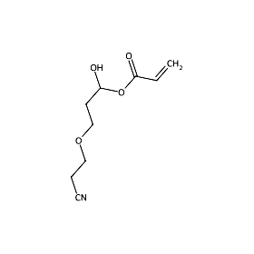 C=CC(=O)OC(O)CCOCCC#N